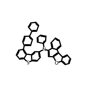 c1ccc(-c2ccc(-c3cccc4sc5ccc(N(c6ccccc6)c6cc7oc8ccccc8c7c7ccccc67)cc5c34)cc2)cc1